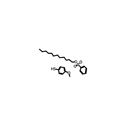 CCCCCCCCCCCCOS(=O)(=O)c1ccccc1.COc1ccc(S)cc1